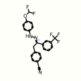 N#Cc1ccc(C/C(=N\Nc2ccc(OC(F)F)cc2)c2cccc(C(F)(F)F)c2)cc1